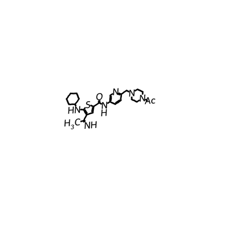 CC(=N)c1cc(C(=O)Nc2ccc(CN3CCN(C(C)=O)CC3)nc2)sc1NC1CCCCC1